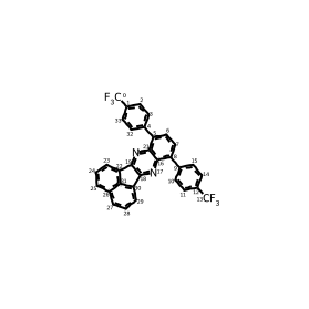 FC(F)(F)c1ccc(-c2ccc(-c3ccc(C(F)(F)F)cc3)c3nc4c(nc23)-c2cccc3cccc-4c23)cc1